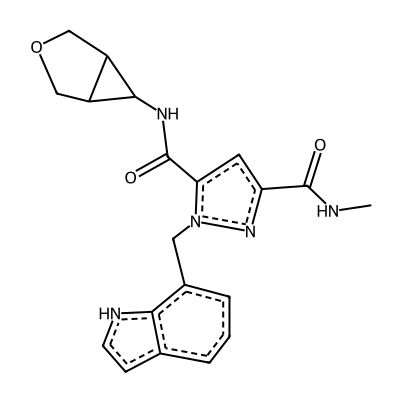 CNC(=O)c1cc(C(=O)NC2C3COCC32)n(Cc2cccc3cc[nH]c23)n1